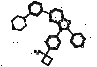 NC1(c2ccc(-n3c(-c4ccncc4)nc4ccc(-c5cccc(N6CCOCC6)c5)nc43)cc2)CCC1